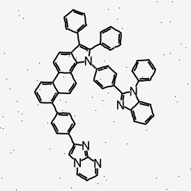 c1ccc(-c2c(-c3ccccc3)n(-c3ccc(-c4nc5ccccc5n4-c4ccccc4)cc3)c3c2ccc2c4cccc(-c5ccc(-c6cn7cccnc7n6)cc5)c4ccc23)cc1